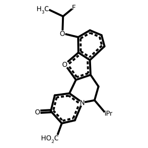 CC(F)Oc1cccc2c3c(oc12)-c1cc(=O)c(C(=O)O)cn1C(C(C)C)C3